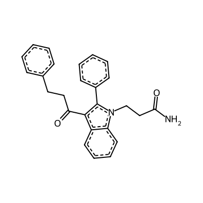 NC(=O)CCn1c(-c2ccccc2)c(C(=O)CCc2ccccc2)c2ccccc21